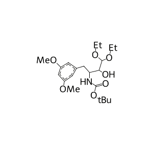 CCOC(OCC)C(O)C(Cc1cc(OC)cc(OC)c1)NC(=O)OC(C)(C)C